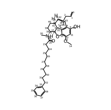 C=CCN1CC[C@]23c4c5c(O)cc(OC)c4O[C@H]2[C@H](N(C)C(=O)CCCCCCCCCCc2ccccc2)CC[C@H]3[C@H]1C5